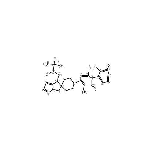 Cc1c(N2CCC3(CC2)Cn2nccc2[C@H]3N[S+]([O-])C(C)(C)C)nc(C)n(-c2cccc(Cl)c2Cl)c1=O